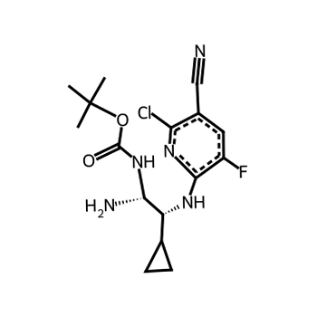 CC(C)(C)OC(=O)N[C@@H](N)[C@H](Nc1nc(Cl)c(C#N)cc1F)C1CC1